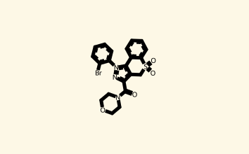 O=C(c1nn(-c2ccccc2Br)c2c1CS(=O)(=O)c1ccccc1-2)N1CCOCC1